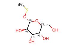 CC(C)SO[C@@H]1O[C@H](CO)[C@H](O)[C@H](O)[C@H]1O